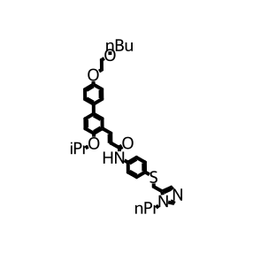 CCCCOCCOc1ccc(-c2ccc(OC(C)C)c(/C=C/C(=O)Nc3ccc(SCc4cncn4CCC)cc3)c2)cc1